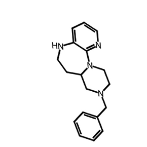 c1ccc(CN2CCN3c4ncccc4NCCC3C2)cc1